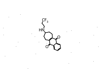 O=C1C2=C(CCC(NCCC(F)(F)F)CC2)C(=O)c2ccccc21